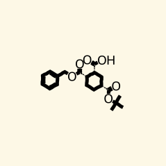 CC(C)(C)OC(=O)[C@@H]1CC[C@H](C(=O)OCc2ccccc2)[C@H](C(=O)O)C1